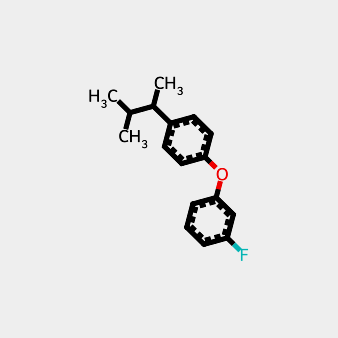 CC(C)C(C)c1ccc(Oc2cccc(F)c2)cc1